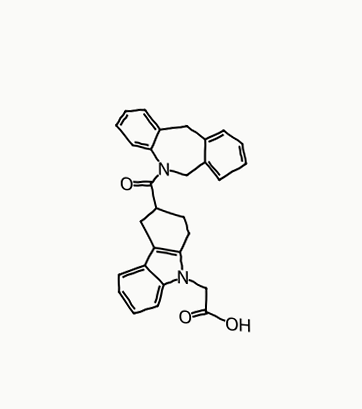 O=C(O)Cn1c2c(c3ccccc31)CC(C(=O)N1Cc3ccccc3Cc3ccccc31)CC2